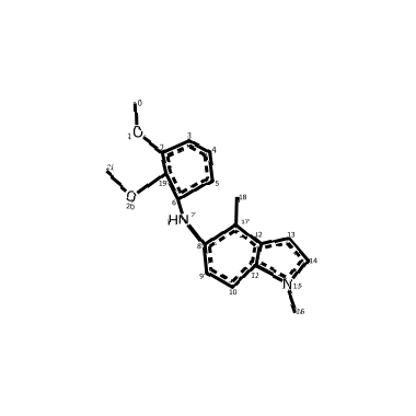 COc1cccc(Nc2ccc3c(ccn3C)c2C)c1OC